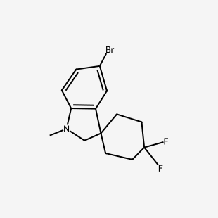 CN1CC2(CCC(F)(F)CC2)c2cc(Br)ccc21